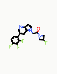 O=C(Cn1ccc2ncc(-c3ccc(F)c(F)c3F)cc21)N1CC(F)C1